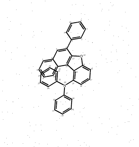 c1ccc(-c2cc3ccccc3c3c2oc2cccc(N(c4ccccc4)c4ccccc4)c23)cc1